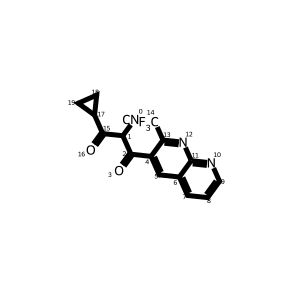 N#CC(C(=O)c1cc2cccnc2nc1C(F)(F)F)C(=O)C1CC1